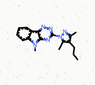 CCCc1c(C)nn(-c2nnc3c4ccccc4n(C)c3n2)c1C